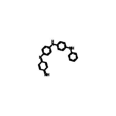 N=C1C=CC(=Nc2ccc(Nc3ccc(Nc4ccccc4)cc3)cc2)C=C1